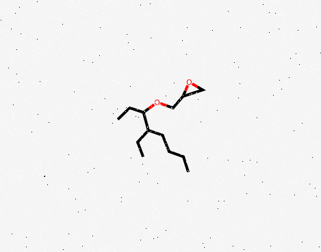 CCCCC(CC)C(CC)OCC1CO1